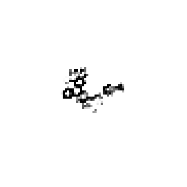 Nc1nc(-c2ccccc2)c(-c2cc(Cl)c3[nH]ncc3c2)nc1CCNc1ccn(C2CC2)n1